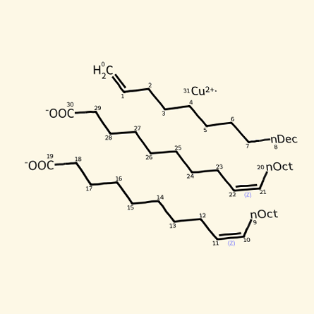 C=CCCCCCCCCCCCCCCCC.CCCCCCCC/C=C\CCCCCCCC(=O)[O-].CCCCCCCC/C=C\CCCCCCCC(=O)[O-].[Cu+2]